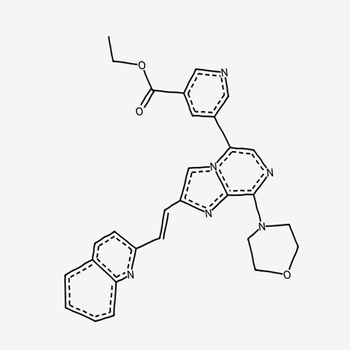 CCOC(=O)c1cncc(-c2cnc(N3CCOCC3)c3nc(/C=C/c4ccc5ccccc5n4)cn23)c1